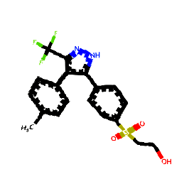 Cc1ccc(-c2c(C(F)(F)F)n[nH]c2-c2ccc(S(=O)(=O)CCO)cc2)cc1